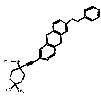 CC1(C)OCC(C#Cc2ccc3c(c2)Sc2ccc(OCc4ccccc4)cc2C3)(NC(=O)O)CO1